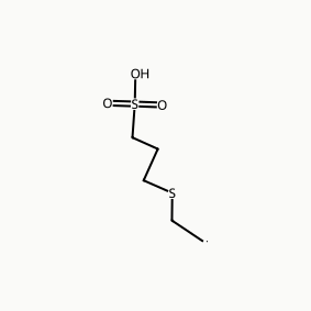 [CH2]CSCCCS(=O)(=O)O